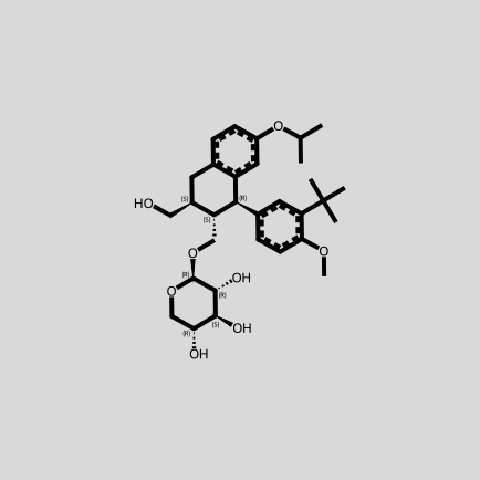 COc1ccc([C@@H]2c3cc(OC(C)C)ccc3C[C@H](CO)[C@H]2CO[C@@H]2OC[C@@H](O)[C@H](O)[C@H]2O)cc1C(C)(C)C